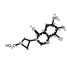 O=C(O)N1CC(n2cnc3c(Cl)c(Br)c([N+](=O)[O-])cc3c2=O)C1